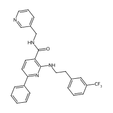 O=C(NCc1cccnc1)c1ccc(-c2ccccc2)nc1NCCc1cccc(C(F)(F)F)c1